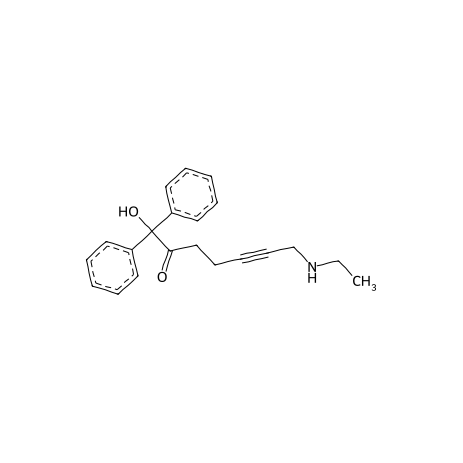 CCNCC#CCCC(=O)C(O)(c1ccccc1)c1ccccc1